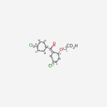 O=C(O)COc1ccc(Cl)cc1C(=O)c1ccc(Cl)cc1